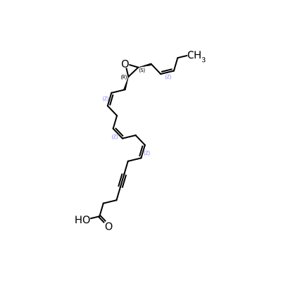 CC/C=C\C[C@@H]1O[C@@H]1C/C=C\C/C=C\C/C=C\CC#CCCC(=O)O